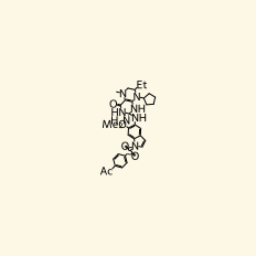 CCC1CN(C)C2=C(N[C@@](N)(Nc3cc4ccn(S(=O)(=O)c5ccc(C(C)=O)cc5)c4cc3OC)NC2=O)N1C1CCCC1